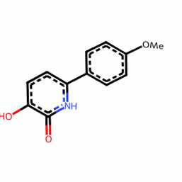 COc1ccc(-c2ccc(O)c(=O)[nH]2)cc1